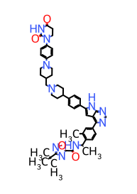 Cc1cc(-c2ncnc3[nH]c(-c4ccc(C5CCN(CC6CCN(c7ccc(N8CCC(=O)NC8=O)cc7)CC6)CC5)cc4)cc23)ccc1[C@H](C)NC(=O)c1nc(C(C)(C)C)no1